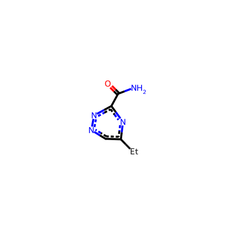 CCc1cnnc(C(N)=O)n1